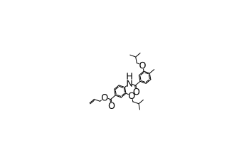 C=CCOC(=O)c1ccc(NC(=O)c2ccc(C)c(OCC(C)C)c2)c(OCC(C)C)c1